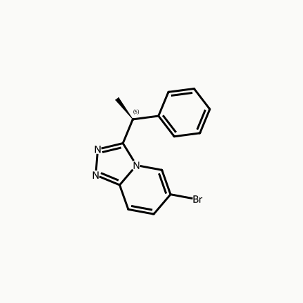 C[C@@H](c1ccccc1)c1nnc2ccc(Br)cn12